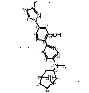 Cc1ncn(-c2ccc(-c3ccc(N(C)C4CC5CCC(C4)N5)nn3)c(O)c2)n1